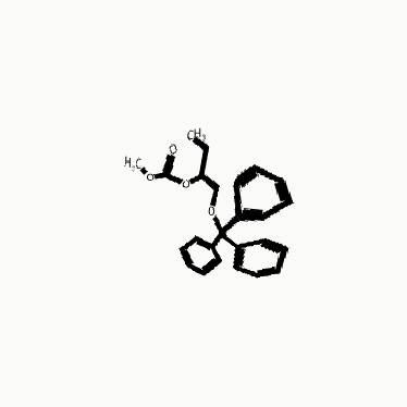 CCC(COC(c1ccccc1)(c1ccccc1)c1ccccc1)OC(=O)OC